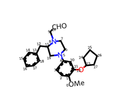 COc1ccc(N2CCN(CC=O)C(Cc3ccccc3)C2)cc1OC1CCCC1